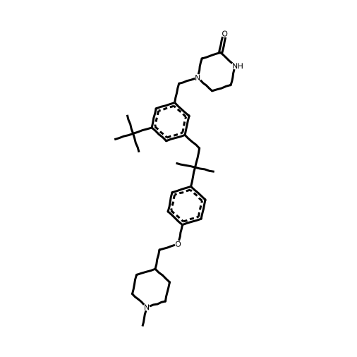 CN1CCC(COc2ccc(C(C)(C)Cc3cc(CN4CCNC(=O)C4)cc(C(C)(C)C)c3)cc2)CC1